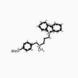 COc1ccc(CN(C)CCCn2c3ccccc3c3ccccc32)cc1